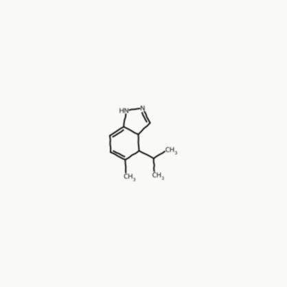 CC1=CC=C2NN=CC2C1C(C)C